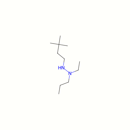 CCCN(CC)NCCC(C)(C)C